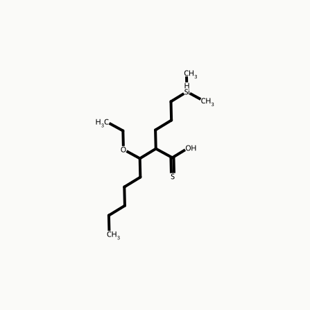 CCCCCC(OCC)C(CCC[SiH](C)C)C(O)=S